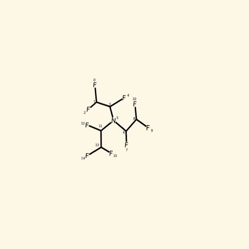 FC(F)C(F)N(C(F)C(F)F)C(F)C(F)F